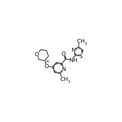 Cc1cc(O[C@@H]2CCCOC2)cc(C(=O)Nc2nc(C)cs2)n1